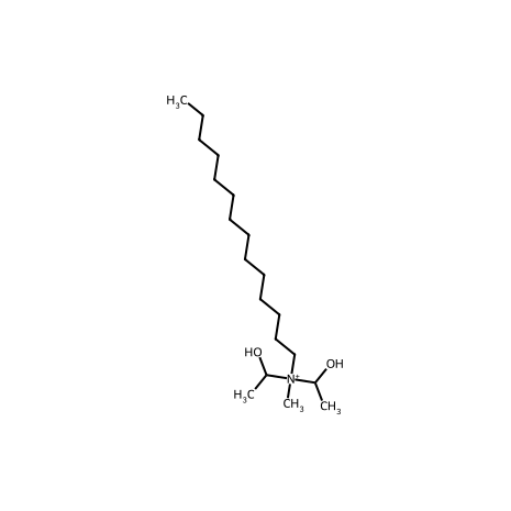 CCCCCCCCCCCCCC[N+](C)(C(C)O)C(C)O